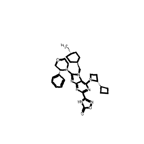 C[C@H]1CC[C@H](Cn2c(N3CCOC[C@H]3c3ccccc3)nc3nc(-c4noc(=O)[nH]4)nc(N4CC[C@@H]4C4CCC4)c32)CC1